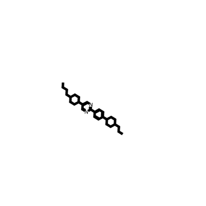 CCCCC1CCC(c2cnc(-c3ccc(C4CCC(CCC)CC4)cc3)nc2)CC1